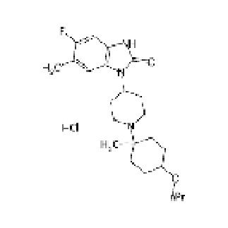 CCCOC1CCC(C)(N2CCC(n3c(=O)[nH]c4cc(F)c(C)cc43)CC2)CC1.Cl